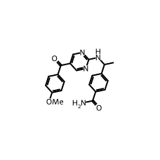 COc1ccc(C(=O)c2cnc(NC(C)c3ccc(C(N)=O)cc3)nc2)cc1